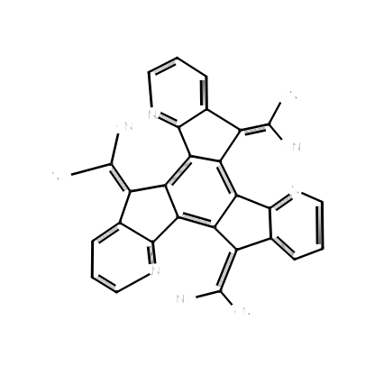 N#CC(C#N)=C1c2cccnc2-c2c1c1c(c3c2C(=C(C#N)C#N)c2cccnc2-3)C(=C(C#N)C#N)c2cccnc2-1